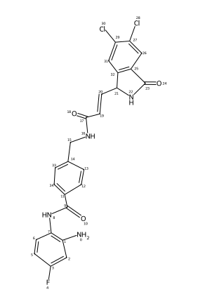 Nc1cc(F)ccc1NC(=O)c1ccc(CNC(=O)C=CC2NC(=O)c3cc(Cl)c(Cl)cc32)cc1